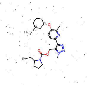 Cc1nc(-c2nnn(C)c2COC(=O)N2CCCC2CC(C)C)ccc1O[C@H]1CCC[C@H](C(=O)O)C1